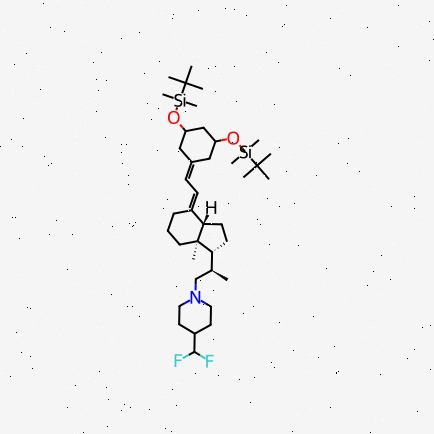 C[C@@H](CN1CCC(C(F)F)CC1)[C@H]1CC[C@H]2/C(=C/C=C3CC(O[Si](C)(C)C(C)(C)C)CC(O[Si](C)(C)C(C)(C)C)C3)CCC[C@]12C